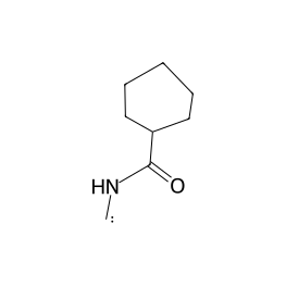 [CH]NC(=O)C1CCCCC1